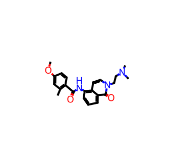 COc1ccc(C(=O)Nc2cccc3c(=O)n(CCN(C)C)ccc23)c(C)c1